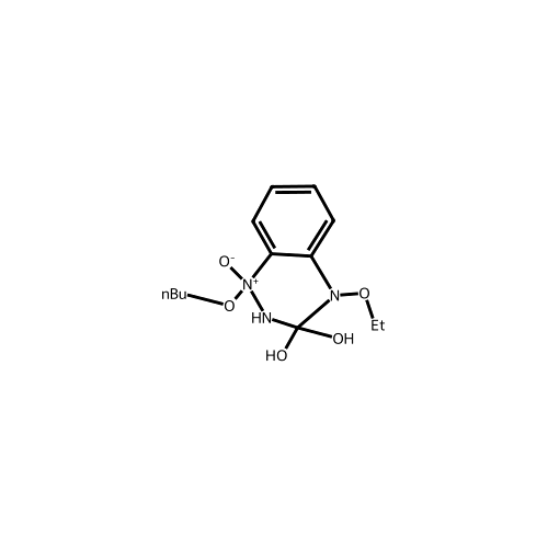 CCCCO[N+]1([O-])NC(O)(O)N(OCC)c2ccccc21